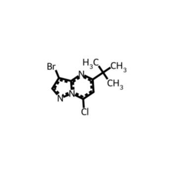 CC(C)(C)c1cc(Cl)n2ncc(Br)c2n1